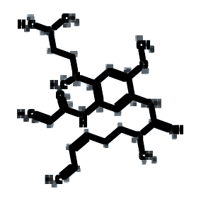 C=C/C=C\CCN(C)C(=N)Nc1cc(NC(=O)C=C)c(N(C)CCN(C)C)cc1OC